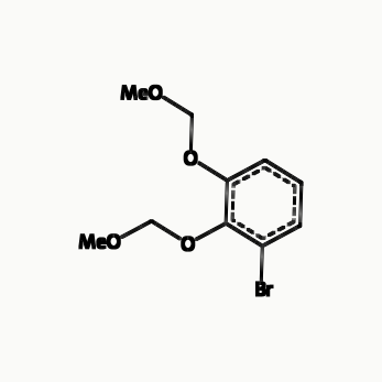 COCOc1cccc(Br)c1OCOC